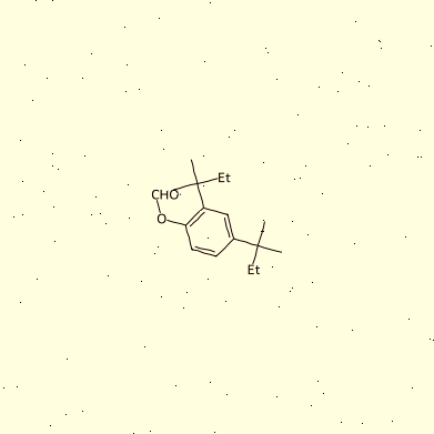 CCC(C)(C)c1ccc(O[C]=O)c(C(C)(C)CC)c1